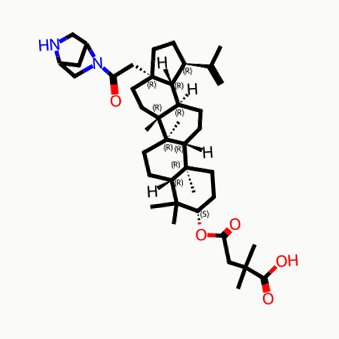 C=C(C)[C@@H]1CC[C@]2(CC(=O)N3CC4CC3CN4)CC[C@]3(C)[C@H](CC[C@@H]4[C@@]5(C)CC[C@H](OC(=O)CC(C)(C)C(=O)O)C(C)(C)[C@@H]5CC[C@]43C)[C@@H]12